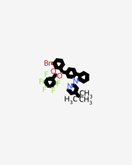 CC(C)(C)c1ccnc(-n2c3ccccc3c3ccc(C(OC(=O)c4c(F)c(F)c(F)c(F)c4F)c4cccc(Br)c4)cc32)c1